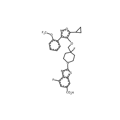 O=C(O)c1cc(F)c2nc(N3CCC(F)(COc4c(-c5ccccc5OC(F)(F)F)noc4C4CC4)CC3)sc2c1